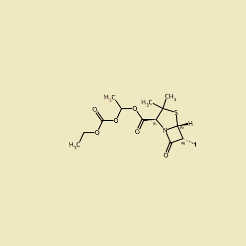 CCOC(=O)OC(C)OC(=O)[C@@H]1N2C(=O)[C@@H](I)[C@H]2SC1(C)C